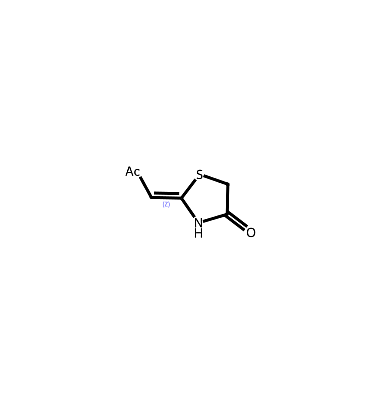 CC(=O)/C=C1/NC(=O)CS1